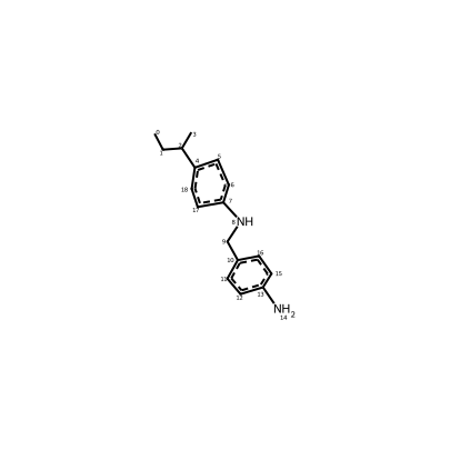 CCC(C)c1ccc(NCc2ccc(N)cc2)cc1